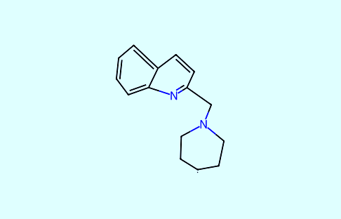 [CH]1CCN(Cc2ccc3ccccc3n2)CC1